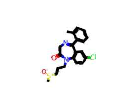 Cc1ccccc1C1=NCC(=O)N(CCC[S+](C)[O-])c2ccc(Cl)cc21